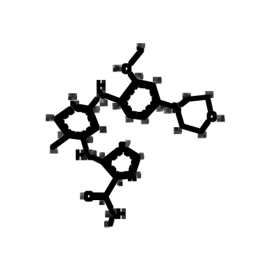 CNC(=O)c1ncsc1Nc1cc(Nc2ccc(N3CCOCC3)cc2OC)ncc1C